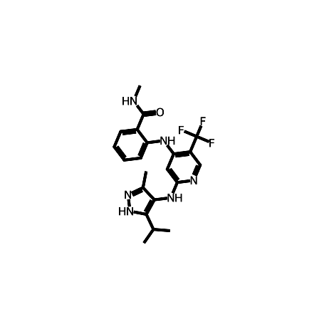 CNC(=O)c1ccccc1Nc1cc(Nc2c(C)n[nH]c2C(C)C)ncc1C(F)(F)F